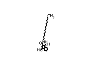 CCCCCCCCCCCCCCCCNC(=O)c1cc(O)c2ccccc2c1O